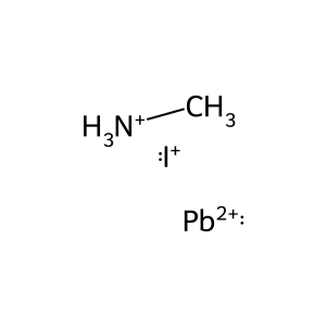 C[NH3+].[I+].[Pb+2]